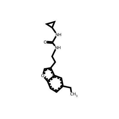 CCc1ccc2occ(CCNC(=O)NC3CC3)c2c1